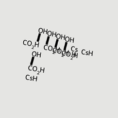 O=C(O)O.O=C(O)O.O=C(O)O.O=C(O)O.O=C(O)O.[CsH].[CsH].[CsH]